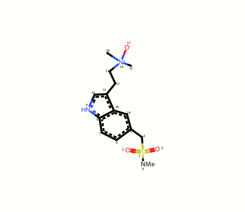 CNS(=O)(=O)Cc1ccc2[nH]cc(CC[N+](C)(C)[O-])c2c1